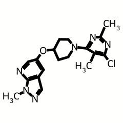 Cc1nc(Cl)c(C)c(N2CCC(Oc3cnc4c(cnn4C)c3)CC2)n1